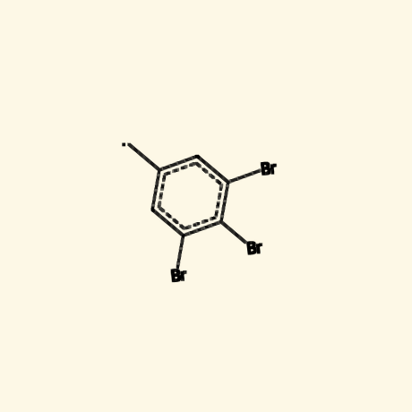 [CH2]c1cc(Br)c(Br)c(Br)c1